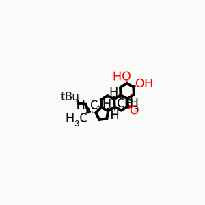 CC(CCC(C)(C)C)[C@H]1CC[C@H]2[C@@H]3CC(=O)[C@H]4C[C@H](O)[C@H](O)C[C@]4(C)[C@H]3CC[C@]12C